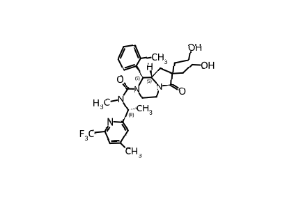 Cc1cc([C@@H](C)N(C)C(=O)N2CCN3C(=O)C(CCO)(CCO)C[C@H]3[C@@H]2c2ccccc2C)nc(C(F)(F)F)c1